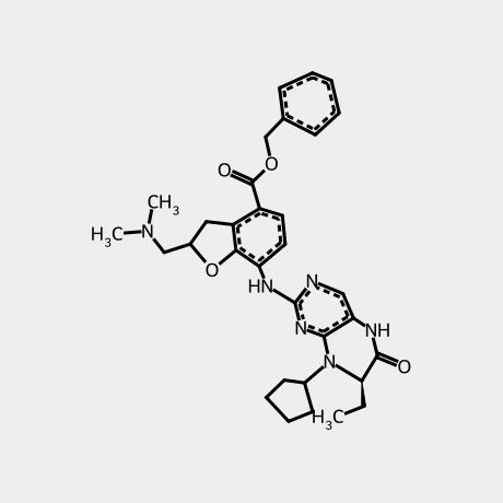 CC[C@@H]1C(=O)Nc2cnc(Nc3ccc(C(=O)OCc4ccccc4)c4c3OC(CN(C)C)C4)nc2N1C1CCCC1